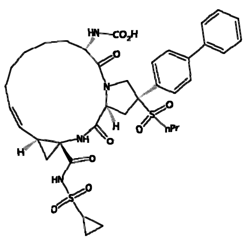 CCCS(=O)(=O)[C@@]1(c2ccc(-c3ccccc3)cc2)C[C@H]2C(=O)N[C@]3(C(=O)NS(=O)(=O)C4CC4)C[C@H]3/C=C\CCCCC[C@H](NC(=O)O)C(=O)N2C1